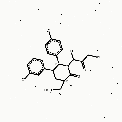 CCC(C(=O)CC(C)C)N1C(=O)[C@@](C)(CC(=O)O)CC(c2cccc(Cl)c2)[C@H]1c1ccc(Cl)cc1